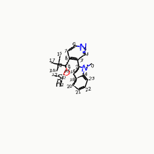 Cn1c(-c2cnccc2C(O[SiH](C)C)C(C)(C)C)cc2ccccc21